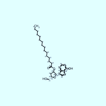 CCCCCCCCCCCCCCCC(=O)OC1C[C@@H](CO)O[C@H]1n1cnc2c(O)ncnc21